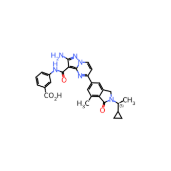 Cc1cc(-c2ccn3nc(N)c(C(=O)Nc4cccc(C(=O)O)c4)c3n2)cc2c1C(=O)N([C@@H](C)C1CC1)C2